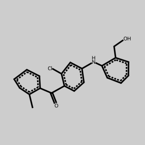 Cc1ccccc1C(=O)c1ccc(Nc2ccccc2CO)cc1Cl